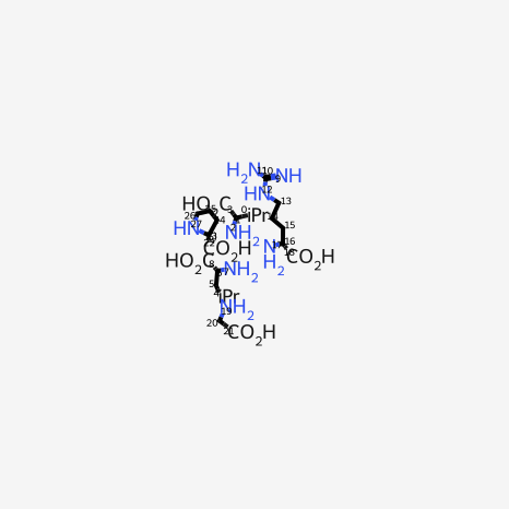 CC(C)C(N)C(=O)O.CC(C)CC(N)C(=O)O.N=C(N)NCCCC(N)C(=O)O.NCC(=O)O.O=C(O)[C@@H]1CCCN1